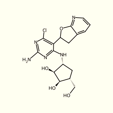 Nc1nc(Cl)c(C2Cc3cccnc3O2)c(N[C@@H]2C[C@H](CO)[C@@H](O)[C@H]2O)n1